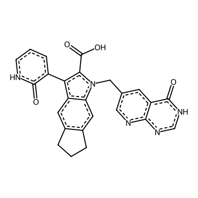 O=C(O)c1c(-c2ccc[nH]c2=O)c2cc3c(cc2n1Cc1cnc2nc[nH]c(=O)c2c1)CCC3